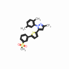 Cc1ccc(C)c(-n2nc(C(F)(F)F)cc2-c2ccc(-c3cccc(S(C)(=O)=O)c3)s2)c1